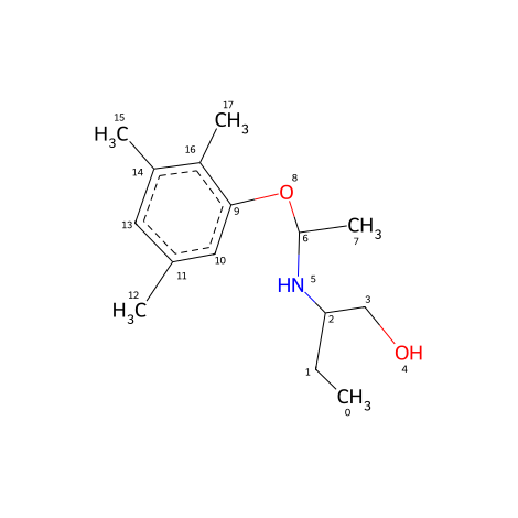 CCC(CO)NC(C)Oc1cc(C)cc(C)c1C